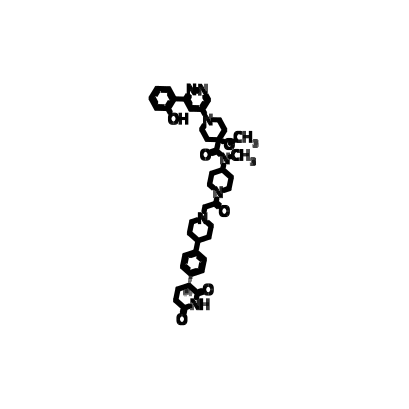 COC1(C(=O)N(C)C2CCN(C(=O)CN3CCC(c4ccc([C@H]5CCC(=O)NC5=O)cc4)CC3)CC2)CCN(c2cnnc(-c3ccccc3O)c2)CC1